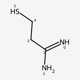 N=C(N)CCS